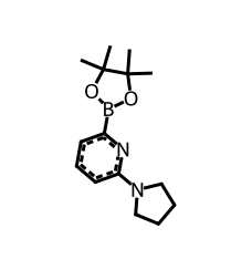 CC1(C)OB(c2cccc(N3CCCC3)n2)OC1(C)C